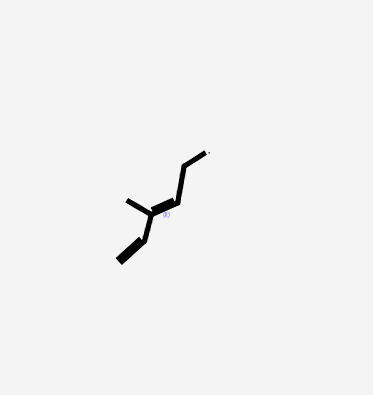 [CH2]C/C=C(\C)C=C